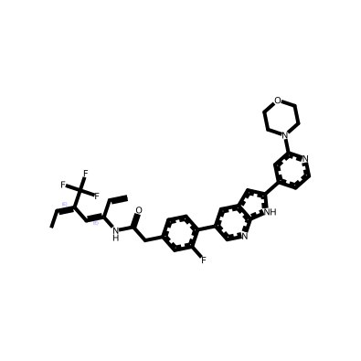 C=C/C(=C\C(=C/C)C(F)(F)F)NC(=O)Cc1ccc(-c2cnc3[nH]c(-c4ccnc(N5CCOCC5)c4)cc3c2)c(F)c1